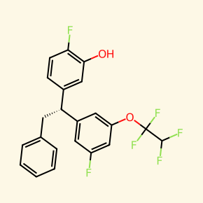 Oc1cc([C@@H](Cc2ccccc2)c2cc(F)cc(OC(F)(F)C(F)F)c2)ccc1F